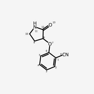 N#Cc1ccccc1OC1CCNC1=O